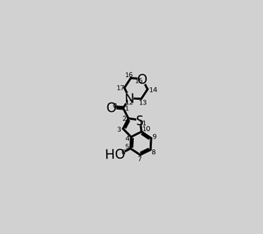 O=C(c1cc2c(O)cccc2s1)N1CCOCC1